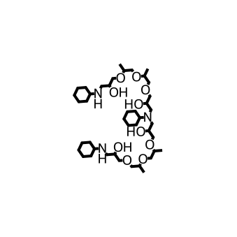 CC(COCC(O)CN(CC(O)COC(C)COC(C)COCC(O)CNC1CCCCC1)C1CCCCC1)OCC(C)OCC(O)CNC1CCCCC1